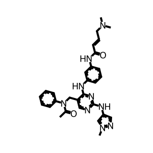 CC(=O)N(Cc1cnc(Nc2cnn(C)c2)nc1Nc1cccc(NC(=O)/C=C/CN(C)C)c1)c1ccccc1